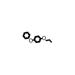 CCCOc1ccc(Oc2ccccc2)cc1